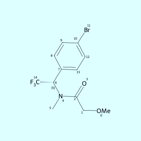 COCC(=O)N(C)[C@@H](c1ccc(Br)cc1)C(F)(F)F